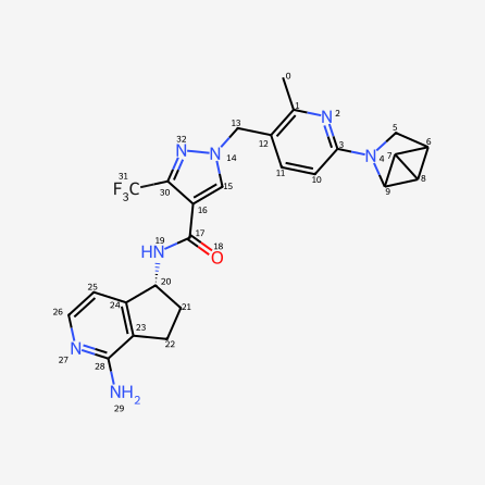 Cc1nc(N2CC3C4C3C42)ccc1Cn1cc(C(=O)N[C@@H]2CCc3c2ccnc3N)c(C(F)(F)F)n1